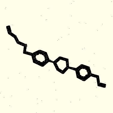 C=CCCOCc1ccc([C@H]2CC[C@H](c3ccc(CC=C)cc3)CC2)cc1